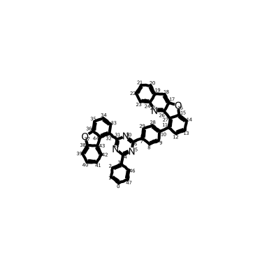 c1ccc(-c2nc(-c3ccc(-c4cccc5oc6cc7ccccc7nc6c45)cc3)nc(-c3cccc4oc5ccccc5c34)n2)cc1